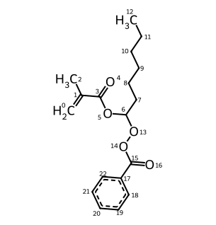 C=C(C)C(=O)OC(CCCCCC)OOC(=O)c1ccccc1